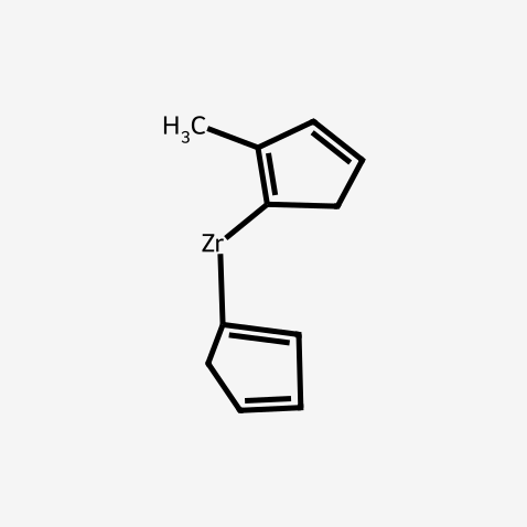 CC1=[C]([Zr][C]2=CC=CC2)CC=C1